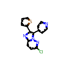 Clc1ccc2nc(-c3cccs3)c(-c3ccncc3)n2n1